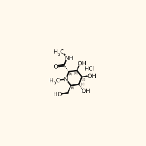 CNC(=O)[C@@H]1[C@@H](O)[C@@H](O)[C@H](O)[C@@H](CO)N1C.Cl